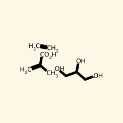 C=C.C=C(C)C(=O)O.OCC(O)CO